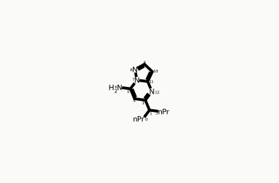 CCCC(CCC)c1cc(N)n2nccc2n1